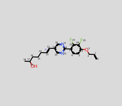 C=CCOc1ccc(-c2ncc(/C=C/CCCC(C)O)cn2)c(F)c1F